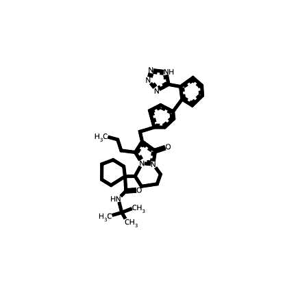 CCCc1c(Cc2ccc(-c3ccccc3-c3nnn[nH]3)cc2)c(=O)n2n1C(C1(C(=O)NC(C)(C)C)CCCCC1)CCC2